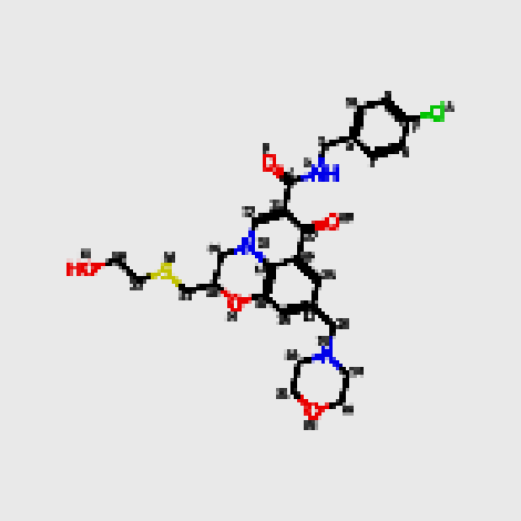 O=C(NCc1ccc(Cl)cc1)c1cn2c3c(cc(CN4CCOCC4)cc3c1=O)OC(CSCCO)C2